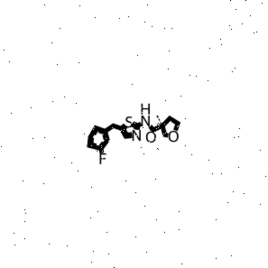 C[C@]1(C(=O)Nc2ncc(Cc3cccc(F)c3)s2)CCOC1